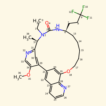 CCN1C(=O)N[C@@H](CCC(F)(F)F)CCCCCOc2cc(cc3cccnc23)-c2cc(ncc2OC)[C@H]1C